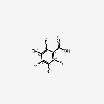 O=C(O)c1c(F)c(Cl)c(F)c(Cl)c1F